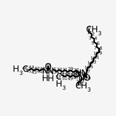 CCCCCCCC/C=C\CCCCCCCCNC(=O)N(CCC)C(/C=C\CCCCCCCCNC(=O)NCCCCCCC)CCCCCCC